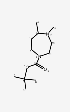 CC1CCN(C(=O)OC(C)(C)C)CCN1C